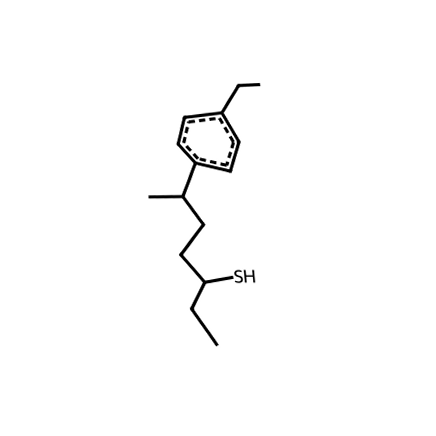 CCc1ccc(C(C)CCC(S)CC)cc1